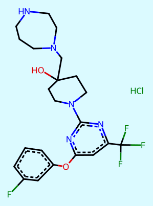 Cl.OC1(CN2CCCNCC2)CCN(c2nc(Oc3cccc(F)c3)cc(C(F)(F)F)n2)CC1